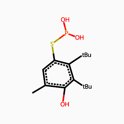 Cc1cc(SP(O)O)c(C(C)(C)C)c(C(C)(C)C)c1O